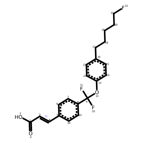 O=C(O)/C=C/c1ccc(C(F)(F)Oc2ccc(CCCCCF)cc2)cc1